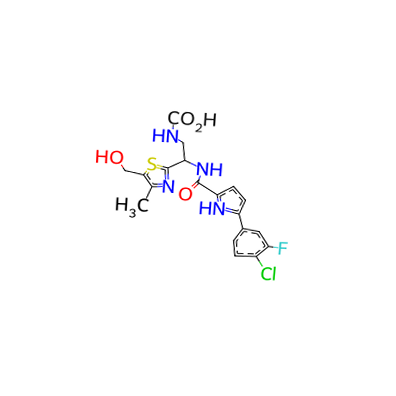 Cc1nc(C(CNC(=O)O)NC(=O)c2ccc(-c3ccc(Cl)c(F)c3)[nH]2)sc1CO